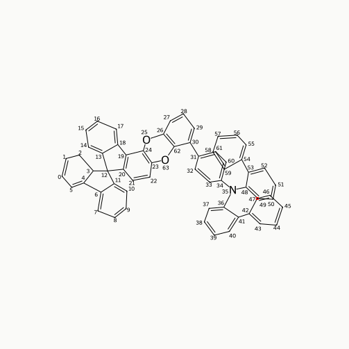 C1=CCC2C(=C1)c1ccccc1C21c2ccccc2-c2c1ccc1c2Oc2cccc(-c3ccc(N(c4ccccc4-c4ccccc4)c4ccccc4-c4ccccc4)cc3)c2O1